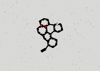 C#Cc1cccc2c(-c3ccccc3-c3ccccc3)c3ccccc3cc12